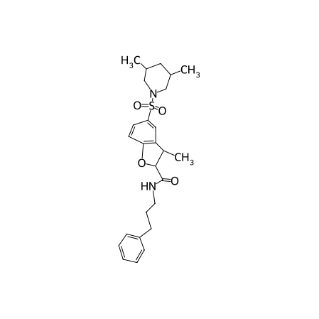 CC1CC(C)CN(S(=O)(=O)c2ccc3c(c2)C(C)C(C(=O)NCCCc2ccccc2)O3)C1